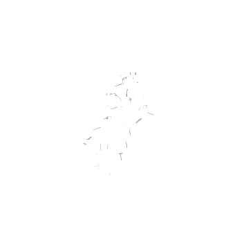 CC1=C(C#C/C(C)=C/C=C/C(C)=C/C(=O)O)C(C)(C)CCC1.CCOC(=O)/C=C(C)/C=C/C=C(C)/C=C/c1c(Cl)cc(OC)c(C)c1Cl